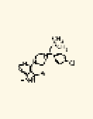 CN(C)CC(c1ccc(Cl)cc1)N1CCN(c2ncnc3[nH]nc(Br)c23)CC1